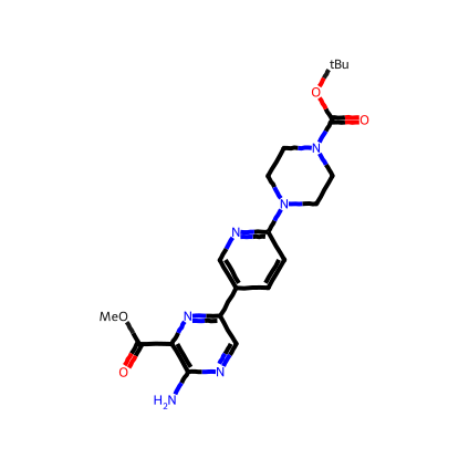 COC(=O)c1nc(-c2ccc(N3CCN(C(=O)OC(C)(C)C)CC3)nc2)cnc1N